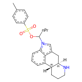 CCCC(OS(=O)(=O)c1ccc(C)cc1)n1cc2c3c(cccc31)[C@H]1CCCN[C@@H]1C2